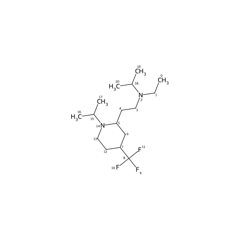 CCN(CCC1CC(C(F)(F)F)CCN1C(C)C)C(C)C